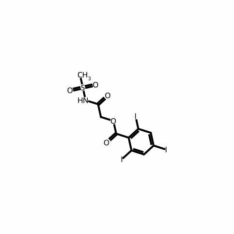 CS(=O)(=O)NC(=O)COC(=O)c1c(I)cc(I)cc1I